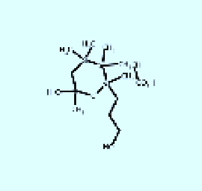 CC(=O)O.CC1(C)C[Si](C)(C)[Si](C)(C)[Si](C)(CCCO)O1